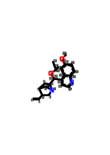 C=CC1CN2CCC1CC2[C@@H](OC(C)C)c1ccnc2ccc(OC)cc12